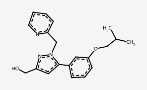 CC(C)COc1cccc(-c2cc(CO)nn2Cc2ccccn2)c1